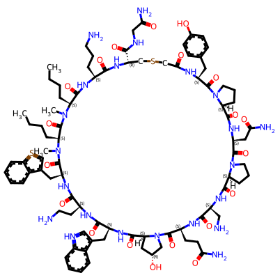 CCCC[C@H]1C(=O)N(C)[C@@H](CCCC)C(=O)N[C@@H](CCCN)C(=O)N[C@H](C(=O)NCC(N)=O)CSCC(=O)N[C@@H](Cc2ccc(O)cc2)C(=O)N2CCC[C@H]2C(=O)N[C@@H](CC(N)=O)C(=O)N2CCC[C@H]2C(=O)N[C@@H](CN)C(=O)N[C@@H](CCC(N)=O)C(=O)N2C[C@H](O)C[C@H]2C(=O)N[C@@H](Cc2c[nH]c3ccccc23)C(=O)N[C@@H](CCN)C(=O)N[C@@H](Cc2csc3ccccc23)C(=O)N1C